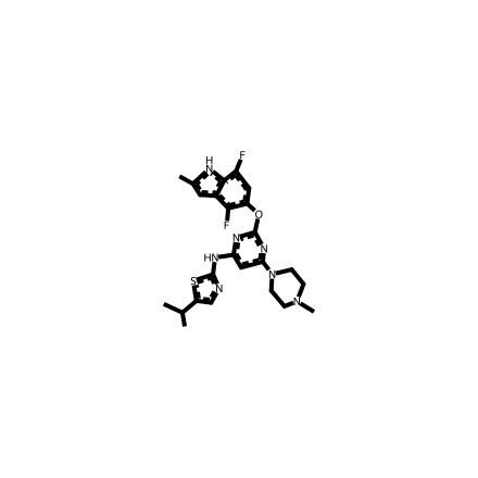 Cc1cc2c(F)c(Oc3nc(Nc4ncc(C(C)C)s4)cc(N4CCN(C)CC4)n3)cc(F)c2[nH]1